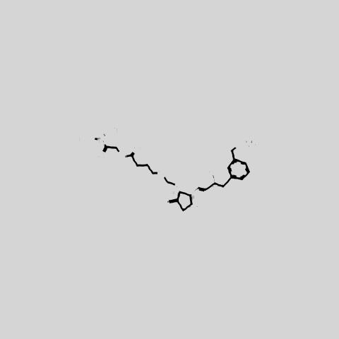 CCCN(CCC)C(=O)COC(=O)CCCSCC[C@H]1C(=O)C[C@@H](O)[C@@H]1C=C[C@@H](O)Cc1cccc(COC)c1